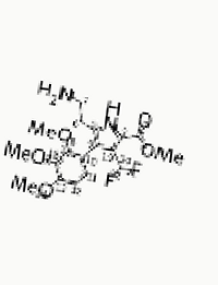 COC(=O)c1[nH]c(CCN)c(-c2ccc(OC)c(OC)c2OC)c1C(F)F